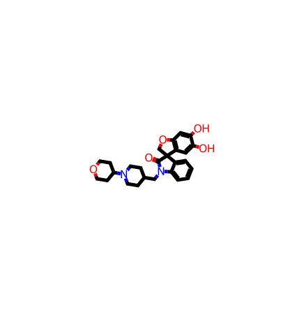 O=C1N(CC2CCN(C3CCOCC3)CC2)c2ccccc2C12COc1cc(O)c(O)cc12